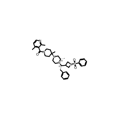 Cc1ccnc(C)c1C(=O)N1CCC(C)(N2CCN([C@@H](Cc3ccccc3)C3CN(S(=O)(=O)c4ccccc4)C3)[C@@H](C)C2)CC1